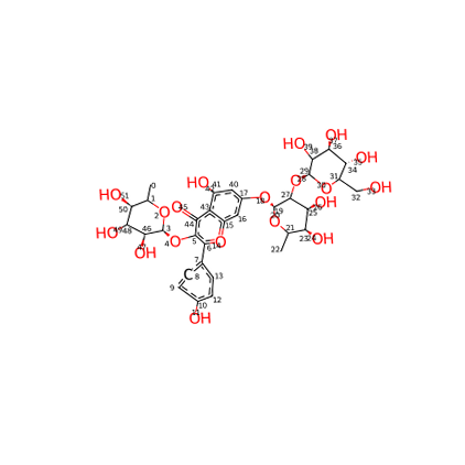 CC1O[C@@H](Oc2c(-c3ccc(O)cc3)oc3cc(O[C@@H]4OC(C)[C@H](O)[C@H](O)C4O[C@@H]4OC(CO)[C@@H](O)[C@H](O)C4O)cc(O)c3c2=O)[C@@H](O)C(O)[C@H]1O